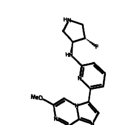 COc1cn2c(-c3cccc(N[C@H]4CNC[C@@H]4F)n3)cnc2cn1